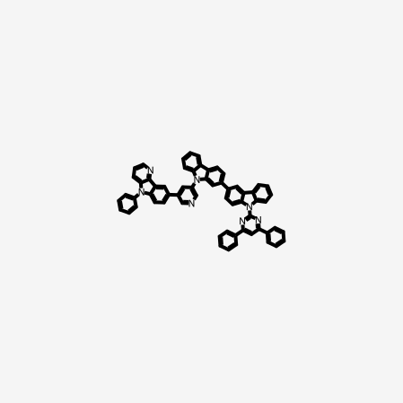 c1ccc(-c2cc(-c3ccccc3)nc(-n3c4ccccc4c4cc(-c5ccc6c7ccccc7n(-c7cncc(-c8ccc9c(c8)c8ncccc8n9-c8ccccc8)c7)c6c5)ccc43)n2)cc1